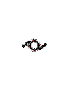 CC(C)C[C@H]1C(=O)O[C@H](Cc2ccc(Cn3cc(-c4ccncn4)cn3)cc2)C(=O)N(C)[C@@H](CC(C)C)C(=O)O[C@H](C)C(=O)N(C)[C@@H](CC(C)C)C(=O)O[C@H](Cc2ccc(Cn3cc(-c4ccncn4)cn3)cc2)C(=O)N(C)[C@@H](CC(C)C)C(=O)O[C@H](C)C(=O)N1C